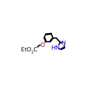 CCOC(=O)COc1cccc(Cc2ncc[nH]2)c1